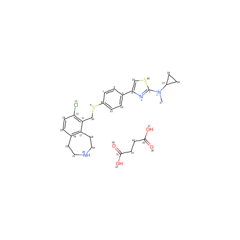 CN(c1nc(-c2ccc(SCc3c(Cl)ccc4c3CCNCC4)cc2)cs1)C1CC1.O=C(O)CCC(=O)O